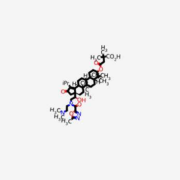 Cc1nnc(C(=O)N(CCN(C)C)C[C@H](O)[C@@]23CC[C@]4(C)[C@H](CC[C@@H]5[C@@]6(C)CCC(OC(=O)CC(C)(C)C(=O)O)C(C)(C)[C@@H]6CC[C@]54C)C2=C(C(C)C)C(=O)C3)o1